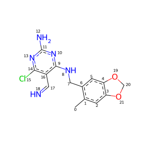 Cc1cc2c(cc1CNc1nc(N)nc(Cl)c1C=N)OCO2